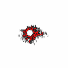 N=C(N)NCCC[C@@H](N)C(=O)N[C@@H](CCCNC(=N)N)C(=O)N[C@H](Cc1ccc2ccccc2c1)C(=O)NC1CSSC[C@H](C(=O)N[C@H](CCCNC(=N)N)C(N)=O)N=C(O)[C@@H](CCCNC(N)=O)N=C(O)[C@@H](CCCNC(=N)N)N=C(O)[C@@H](Cc2ccc(O)cc2)N=C(O)[C@@H]2CCCN2C(=O)C(CCC(=O)O)N=C(O)C(CCCCN)N=C(O)C(CCCNC(N)=O)N=C(O)[C@@H](Cc2ccc(O)cc2)N=C1O